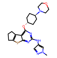 Cn1cc(Nc2nc(O[C@H]3CC[C@H](N4CCOCC4)CC3)c3c4c(sc3n2)CCC4)cn1